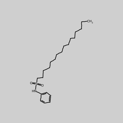 CCCCCCCCCCCCCCCCS(=O)(=O)Nc1c[c]ccc1